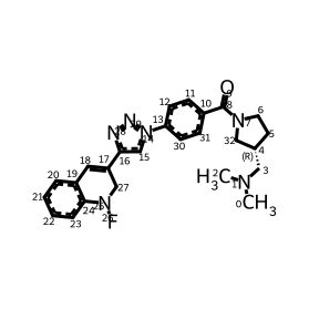 CN(C)C[C@H]1CCN(C(=O)c2ccc(-n3cc(C4=Cc5ccccc5N(F)C4)nn3)cc2)C1